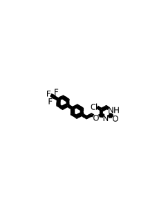 O=c1nc(OCCc2ccc(-c3ccc(C(F)(F)F)cc3)cc2)c(Cl)c[nH]1